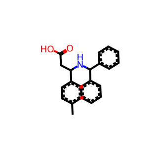 Cc1ccc(C(CC(=O)O)NC(c2ccccc2)c2ccccc2)cc1